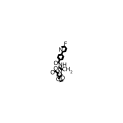 C=C(CNC(=O)c1ccc(-c2ccc(F)cn2)cc1)N1CC2(CC1C(=O)O)OCCO2